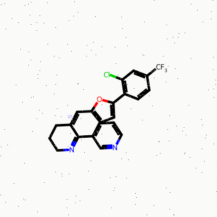 FC(F)(F)c1ccc(-c2ccc(/C=C3/CCCN=C3c3cccnc3)o2)c(Cl)c1